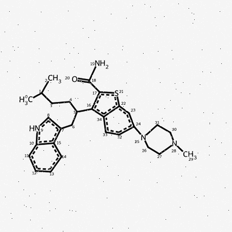 CC(C)CCC(Cc1c[nH]c2ccccc12)c1c(C(N)=O)sc2cc(N3CCN(C)CC3)ccc12